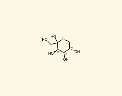 OCC1(O)OC[C@H](O)[C@@H](O)[C@H]1O